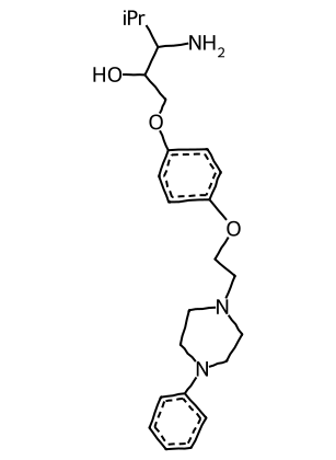 CC(C)C(N)C(O)COc1ccc(OCCN2CCN(c3ccccc3)CC2)cc1